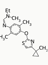 CCN(C)/C=N\c1cc(C)c(Oc2nc(C3(C)CC3)cs2)cc1C